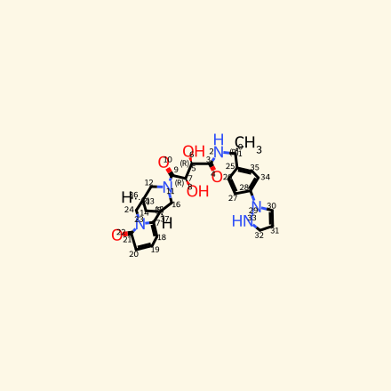 C[C@@H](NC(=O)[C@H](O)[C@@H](O)C(=O)N1C[C@H]2C[C@@H](C1)c1cccc(=O)n1C2)c1ccc(N2C=CCN2)cc1